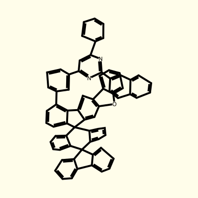 c1ccc(-c2cc(-c3cccc(-c4cccc5c4-c4cc6c(cc4C54c5ccccc5C5(c7ccccc7-c7ccccc75)c5ccccc54)oc4ccccc46)c3)nc(-c3ccc4ccccc4c3)n2)cc1